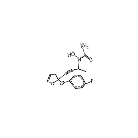 CC(C#CC1(Oc2ccc(F)cc2)CC=CO1)N(O)C(N)=O